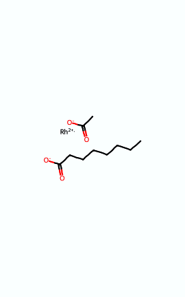 CC(=O)[O-].CCCCCCCC(=O)[O-].[Rh+2]